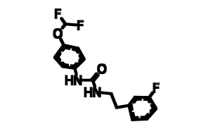 O=C(NCCc1cccc(F)c1)Nc1ccc(OC(F)F)cc1